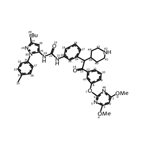 COc1cc(OC)nc(Oc2cccc(C(=O)C(c3cccc(NC(=O)Nc4cc(C(C)(C)C)nn4-c4ccc(C)cc4)c3)C3CCNCC3)c2)n1